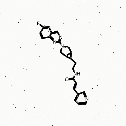 O=C(/C=C/c1cccnc1)NCCC1C2CN(c3ncc4cc(F)ccc4n3)CC12